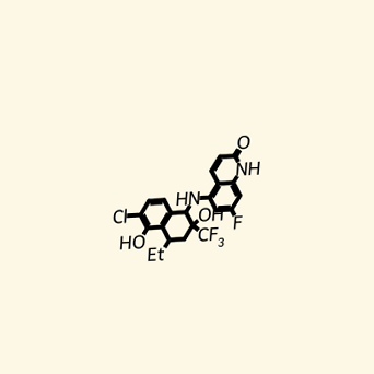 CCC1CC(O)(C(F)(F)F)C(Nc2cc(F)cc3[nH]c(=O)ccc23)c2ccc(Cl)c(O)c21